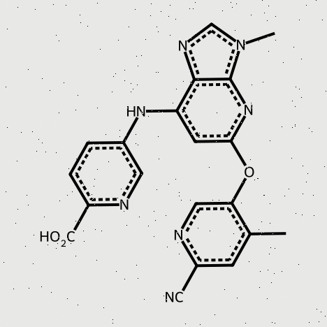 Cc1cc(C#N)ncc1Oc1cc(Nc2ccc(C(=O)O)nc2)c2ncn(C)c2n1